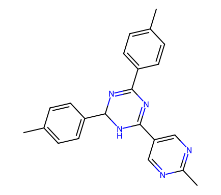 Cc1ccc(C2=NC(c3ccc(C)cc3)NC(c3cnc(C)nc3)=N2)cc1